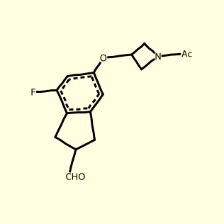 CC(=O)N1CC(Oc2cc(F)c3c(c2)CC(C=O)C3)C1